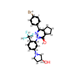 O=c1c2c(c(-c3ccc(Br)cc3)nn1-c1cc(N3CC[C@H](O)C3)ccc1C(F)(F)F)CCC2